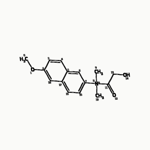 COc1ccc2cc([N+](C)(C)C(=O)CO)ccc2c1